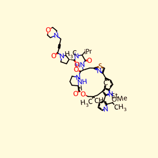 CCn1c(-c2cccnc2[C@H](C)OC)c2c3cc(ccc31)-c1csc(n1)C[C@H](NC(=O)C(C(C)C)N(C)C(=O)[C@H]1CCN(C(=O)C#CCN3CCOCC3)C1)C(=O)N1CCC[C@H](N1)C(=O)OCC(C)(C)C2